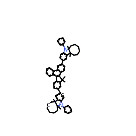 CC1(C)c2cc(-c3ccc4c(c3)C3(C)CCCCCCC3(C)N4c3ccccc3)ccc2-c2c1c1ccc(-c3ccc4c(c3)C3(C)CCCCCCC3(C)N4c3ccccc3)cc1c1ccccc21